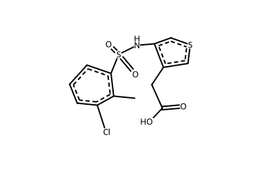 Cc1c(Cl)cccc1S(=O)(=O)Nc1cscc1CC(=O)O